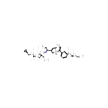 N=C/C(=C\NC1(CN)CN(C(=O)NCC2CC2)C1)c1cnn2c(-c3cccc(NC(=O)NCC(F)(F)F)c3)cnc2c1